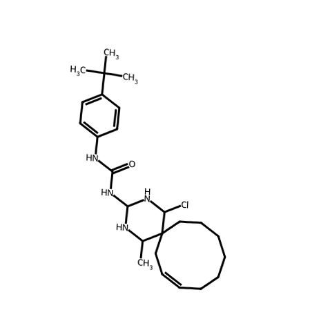 CC1NC(NC(=O)Nc2ccc(C(C)(C)C)cc2)NC(Cl)C12C/C=C\CCCCCC2